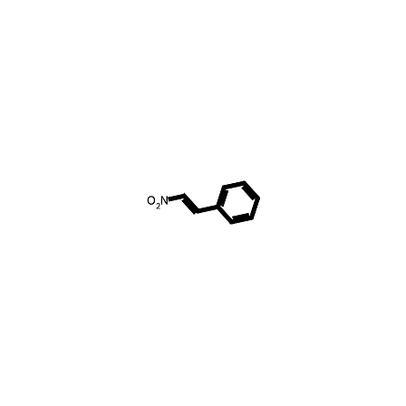 O=[N+]([O-])/[C]=C/c1ccccc1